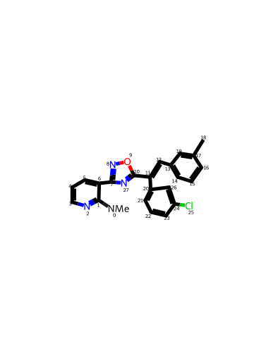 CNc1ncccc1-c1noc(/C(=C/c2cccc(C)c2)c2cccc(Cl)c2)n1